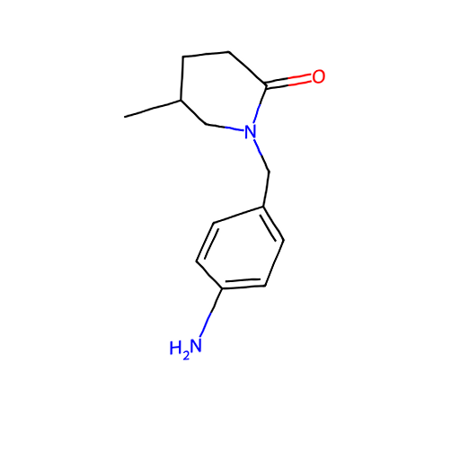 CC1CCC(=O)N(Cc2ccc(N)cc2)C1